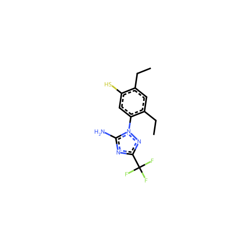 CCc1cc(CC)c(-n2nc(C(F)(F)F)nc2N)cc1S